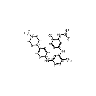 CC[S+]([O-])Nc1cc(Nc2nc(Nc3ccc(N4CCN(C)CC4)cc3)ncc2C)ccc1Cl